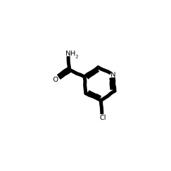 NC(=O)c1cn[c]c(Cl)c1